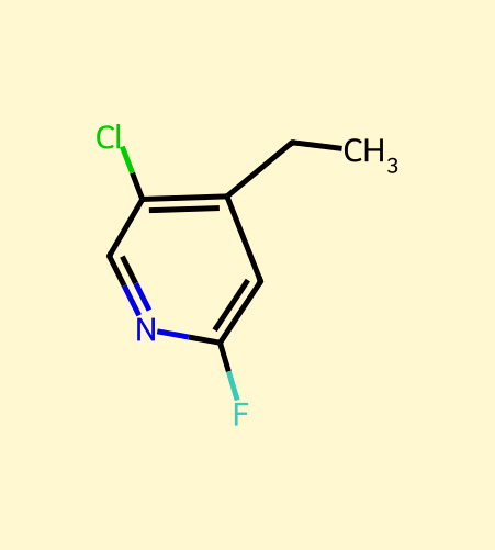 CCc1cc(F)ncc1Cl